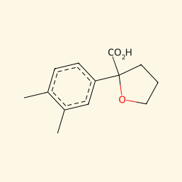 Cc1ccc(C2(C(=O)O)CCCO2)cc1C